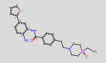 CCP1(=O)CCN(CCc2ccc(C(=O)Nc3cc(-c4cccs4)ccc3N)cc2)CC1